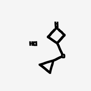 C1CC1OC1CNC1.Cl